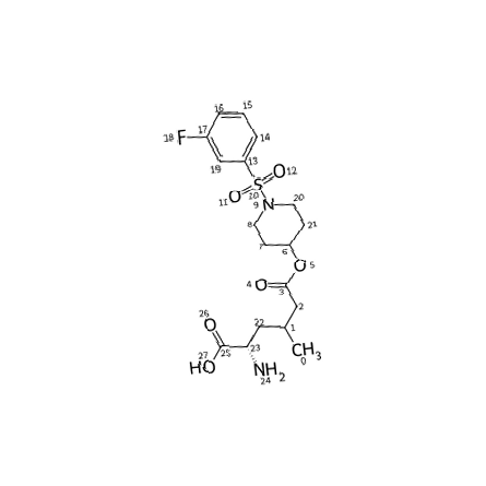 CC(CC(=O)OC1CCN(S(=O)(=O)c2cccc(F)c2)CC1)C[C@H](N)C(=O)O